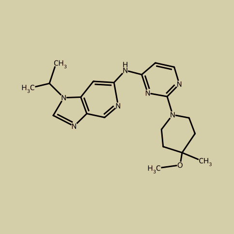 COC1(C)CCN(c2nccc(Nc3cc4c(cn3)ncn4C(C)C)n2)CC1